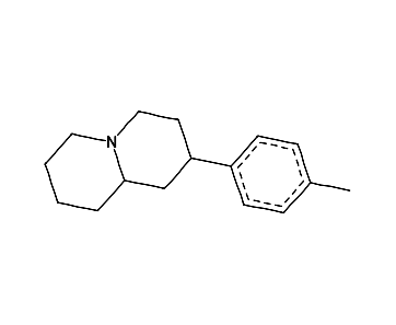 Cc1ccc(C2CCN3CCCCC3C2)cc1